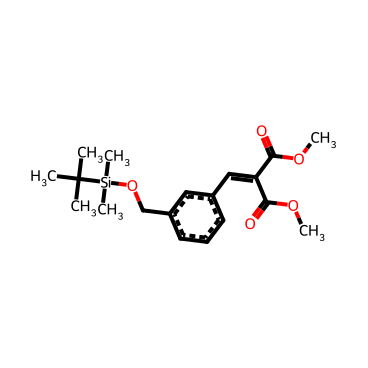 COC(=O)C(=Cc1cccc(CO[Si](C)(C)C(C)(C)C)c1)C(=O)OC